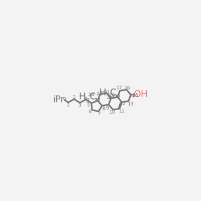 CC(C)CCCCC1CCC2C3CC=C4CC(O)CCC4(C)C3CC[C@]12C